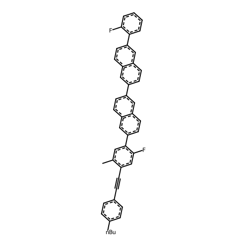 CCCCc1ccc(C#Cc2cc(F)c(-c3ccc4cc(-c5ccc6cc(-c7ccccc7F)ccc6c5)ccc4c3)cc2C)cc1